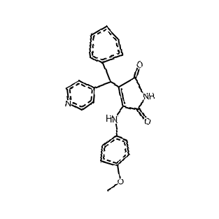 COc1ccc(NC2=C(C(c3ccccc3)c3ccncc3)C(=O)NC2=O)cc1